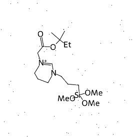 CCC(C)(C)OC(=O)C[N+]1=CN(CCC[Si](OC)(OC)OC)CCC1